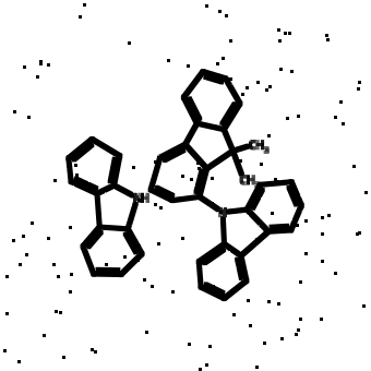 CC1(C)c2ccccc2-c2cccc(-n3c4ccccc4c4ccccc43)c21.c1ccc2c(c1)[nH]c1ccccc12